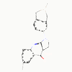 Cc1ccc2c(c1)C(=O)[C@]1(O)CCN(c3ccc4c(c3)C[SH](C)C4)C1=N2